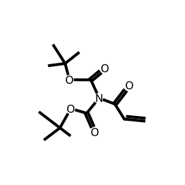 C=CC(=O)N(C(=O)OC(C)(C)C)C(=O)OC(C)(C)C